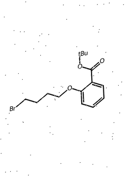 CC(C)(C)OC(=O)c1ccccc1OCCCCBr